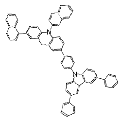 c1ccc(-c2ccc3c(c2)c2cc(-c4ccccc4)ccc2n3-c2ccc(-c3ccc4c(c3)Cc3cc(-c5cccc6ccccc56)ccc3N4c3ccc4ccccc4c3)cc2)cc1